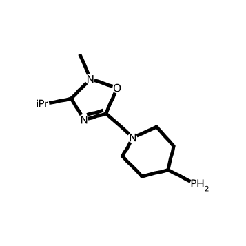 CC(C)C1N=C(N2CCC(P)CC2)ON1C